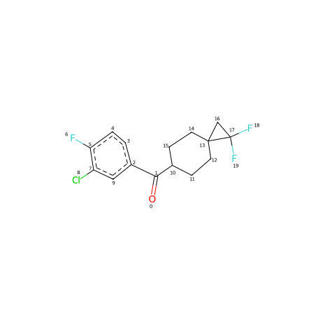 O=C(c1ccc(F)c(Cl)c1)C1CCC2(CC1)CC2(F)F